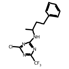 CC(CCc1ccccc1)Nc1nc(Cl)nc(C(F)(F)F)n1